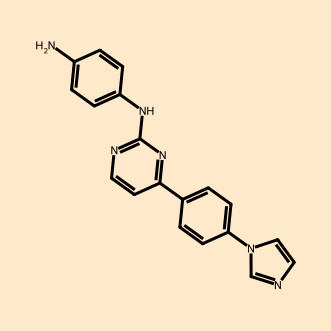 Nc1ccc(Nc2nccc(-c3ccc(-n4ccnc4)cc3)n2)cc1